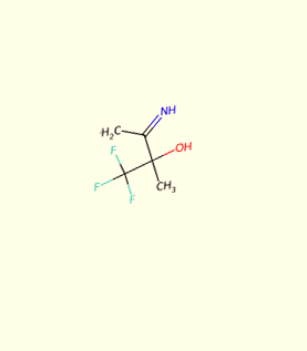 [CH2]C(=N)C(C)(O)C(F)(F)F